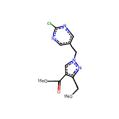 COCc1nn(Cc2cnc(Cl)nc2)cc1C(=O)OC